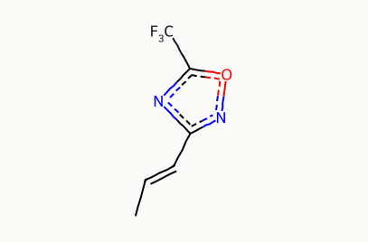 C/C=C/c1noc(C(F)(F)F)n1